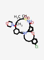 C[C@H](N1CCOCC1)C12CCC[C@@H](CN3CCCCc4cc(Cl)ccc4COc4ccc(cc43)C(=O)NS(=O)(=O)[C@H](C)[C@@H](C)CCC1)C2